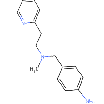 CN(CCc1ccccn1)Cc1ccc(N)cc1